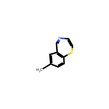 [CH2]c1ccc2c(c1)C=NC=CS2